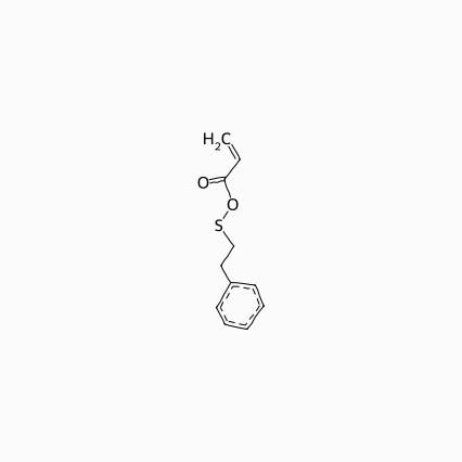 C=CC(=O)OSCCc1ccccc1